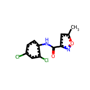 Cc1cc(C(=O)Nc2ccc(Cl)cc2Cl)no1